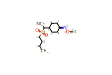 CCON=C1CCC(C(C#N)S(=O)(=O)CCCC(F)(F)F)CC1